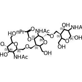 CCCC(=O)O[C@@H]1C(NC(C)=O)[C@H](COC[C@@H]2C(CO)O[C@@H](O)C(NC(C)=O)[C@H]2O)OC(CO)[C@H]1COC[C@@H]1OC(CO)[C@@H](O)[C@H](O)C1NC(C)=O